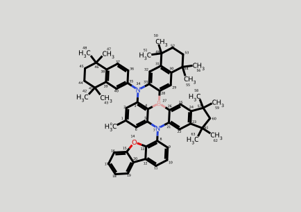 Cc1cc2c3c(c1)N(c1cccc4c1oc1ccccc14)c1cc4c(cc1B3c1cc3c(cc1N2c1ccc2c(c1)C(C)(C)CCC2(C)C)C(C)(C)CCC3(C)C)C(C)(C)CC4(C)C